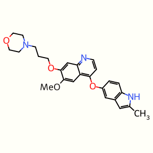 COc1cc2c(Oc3ccc4[nH]c(C)cc4c3)ccnc2cc1OCCCN1CCOCC1